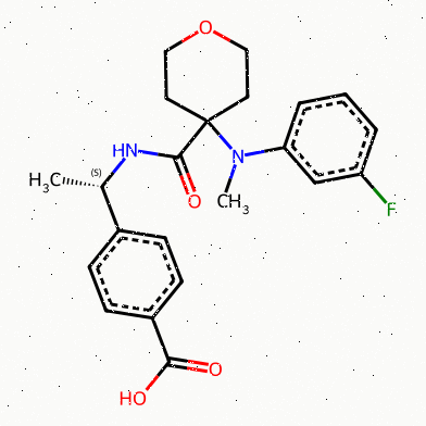 C[C@H](NC(=O)C1(N(C)c2cccc(F)c2)CCOCC1)c1ccc(C(=O)O)cc1